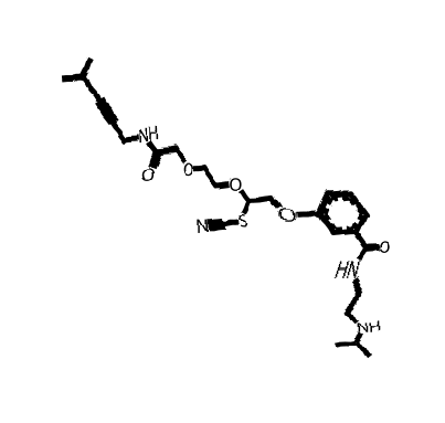 CC(C)C#CCNC(=O)COCCOC(COc1cccc(C(=O)NCCNC(C)C)c1)SC#N